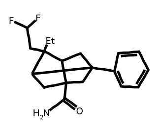 CCC1(CC(F)F)C2CC3(c4ccccc4)CC2(C(N)=O)CC31